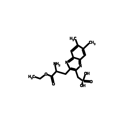 CCOC(=O)C(N)Cc1nc2cc(C)c(C)cc2nc1CP(=O)(O)O